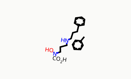 Cc1ccccc1.O=C(O)N(O)CCCNCCCc1ccccc1